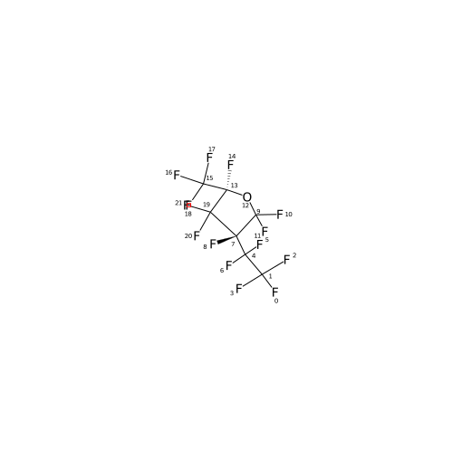 FC(F)(F)C(F)(F)[C@@]1(F)C(F)(F)O[C@](F)(C(F)(F)F)C1(F)F